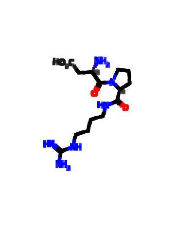 N=C(N)NCCCCNC(=O)[C@@H]1CCCN1C(=O)[C@@H](N)CC(=O)O